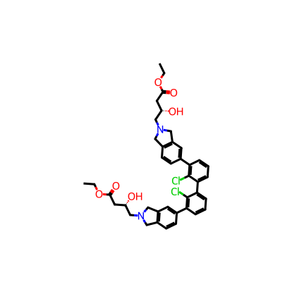 CCOC(=O)C[C@H](O)CN1Cc2ccc(-c3cccc(-c4cccc(-c5ccc6c(c5)CN(C[C@@H](O)CC(=O)OCC)C6)c4Cl)c3Cl)cc2C1